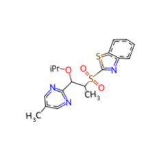 Cc1cnc(C(OC(C)C)C(C)S(=O)(=O)c2nc3ccccc3s2)nc1